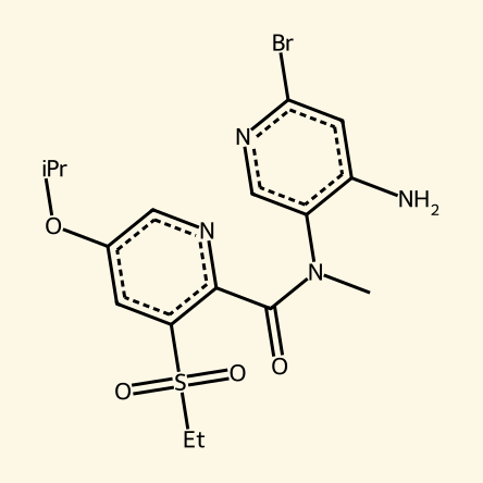 CCS(=O)(=O)c1cc(OC(C)C)cnc1C(=O)N(C)c1cnc(Br)cc1N